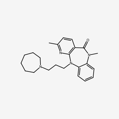 Cc1ccc2c(n1)N(CCCN1CCCCCC1)c1ccccc1N(C)C2=O